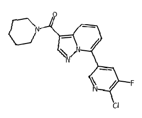 O=C(c1cnn2c(-c3cnc(Cl)c(F)c3)cccc12)N1CCCCC1